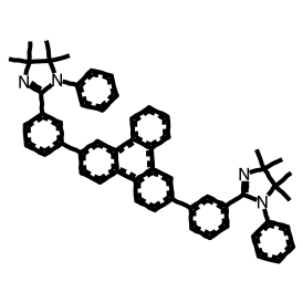 CC1(C)N=C(c2cccc(-c3ccc4c5ccc(-c6cccc(C7=NC(C)(C)C(C)(C)N7c7ccccc7)c6)cc5c5ccccc5c4c3)c2)N(c2ccccc2)C1(C)C